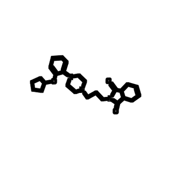 O=C1C2CC=CCC2C(=O)N1CCCN1CCN(c2ccccc2OC2CCCC2)CC1